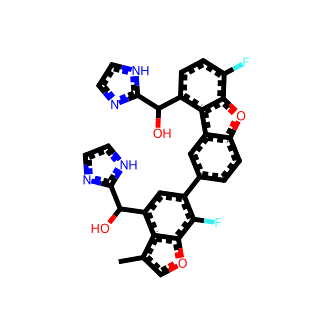 Cc1coc2c(F)c(-c3ccc4oc5c(F)ccc(C(O)c6ncc[nH]6)c5c4c3)cc(C(O)c3ncc[nH]3)c12